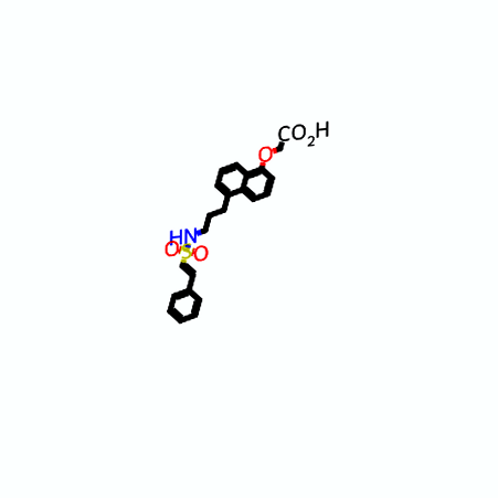 O=C(O)COc1cccc2c(CCCNS(=O)(=O)C=Cc3ccccc3)cccc12